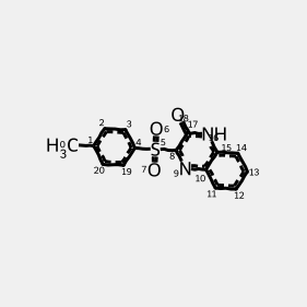 Cc1ccc(S(=O)(=O)c2nc3ccccc3[nH]c2=O)cc1